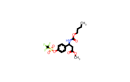 CCCCOC(=O)NC(CC(=O)OC)c1ccc(OS(=O)(=O)C(F)(F)F)cc1